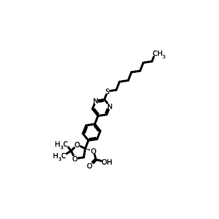 CCCCCCCCSc1ncc(-c2ccc([C@@]3(OC(=O)O)COC(C)(C)O3)cc2)cn1